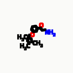 CCCC(C)(CCC)COC1=CCCC(C(=O)CCN)=C1